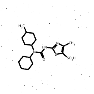 Cc1nc(NC(=O)N(C2CCCCC2)C2CCC(C)CC2)sc1S(=O)(=O)O